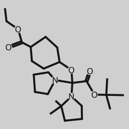 CCOC(=O)C1CCC(OC(C(=O)OC(C)(C)C)(N2CCCC2)N2CCCC2(C)C)CC1